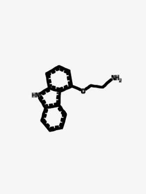 NCCOc1cccc2[nH]c3ccccc3c12